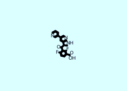 O=C(O)c1ccc(F)c(C(=O)C2CNc3ncc(-c4cccnc4)cc32)c1F